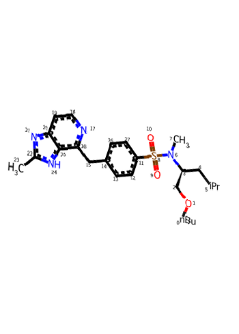 CCCCOC[C@H](CC(C)C)N(C)S(=O)(=O)c1ccc(Cc2nccc3nc(C)[nH]c23)cc1